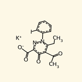 CCc1c(C(C)=O)c(=O)c(C(=O)[O-])nn1-c1ccccc1I.[K+]